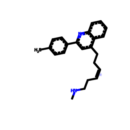 Bc1ccc(-c2cc(CC/C=C\CCNC)c3ccccc3n2)cc1